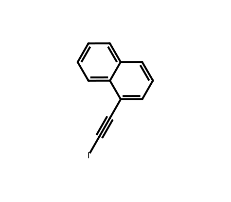 IC#Cc1cccc2ccccc12